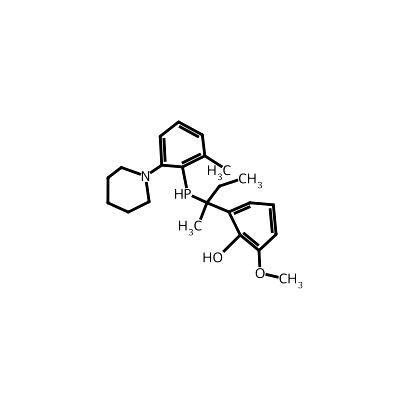 CCC(C)(Pc1c(C)cccc1N1CCCCC1)c1cccc(OC)c1O